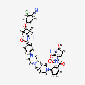 CC1(C)[C@H](NC(=O)c2ccc(N3CCN(CC4CCN(c5cccc6c5C(=O)N(C5CCC(=O)NC5=O)C6=O)CC4)CC3)cc2)C(C)(C)[C@H]1Oc1ccc(C#N)c(Cl)c1